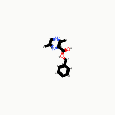 Cc1cnc(C)c(C(=O)OCc2ccccc2)n1